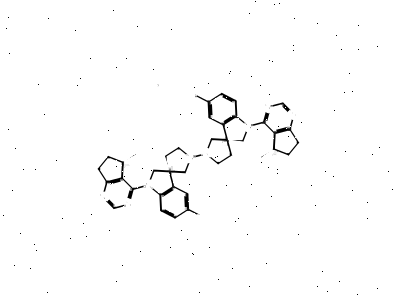 C[C@@H]1CCc2ncnc(N3C[C@]4(CCN(N5CC[C@@]6(CN(c7ncnc8c7[C@H](C)CC8)c7ccc(Cl)cc76)C5)C4)c4cc(Cl)ccc43)c21.Cl.Cl